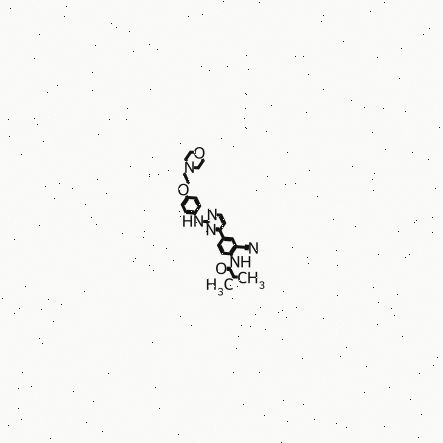 CC(C)C(=O)Nc1ccc(-c2ccnc(Nc3ccc(OCCN4CCOCC4)cc3)n2)cc1C#N